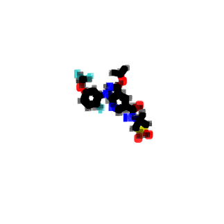 CC(C)Oc1nn(-c2cc(OC(F)F)ccc2F)c2ncc(C(=O)NC3(C)CS(=O)(=O)C3)cc12